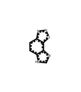 c1nc2c(ccc3nnsc32)[nH]1